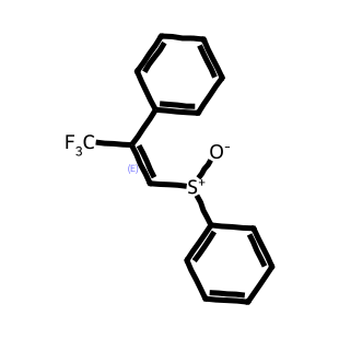 [O-][S+](/C=C(\c1ccccc1)C(F)(F)F)c1ccccc1